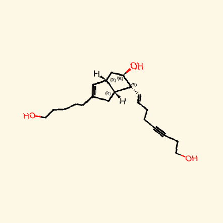 OCCC#CCCC=C[C@@H]1[C@@H]2CC(CCCCCO)=C[C@@H]2C[C@H]1O